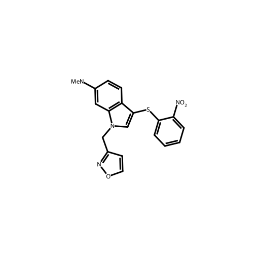 CNc1ccc2c(Sc3ccccc3[N+](=O)[O-])cn(Cc3ccon3)c2c1